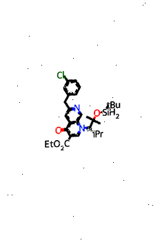 CCOC(=O)c1cn([C@@H](C(C)C)C(C)(C)O[SiH2]C(C)(C)C)c2cnc(Cc3cccc(Cl)c3)cc2c1=O